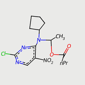 CCCC(=O)OC(C)N(c1nc(Cl)ncc1[N+](=O)[O-])C1CCCC1